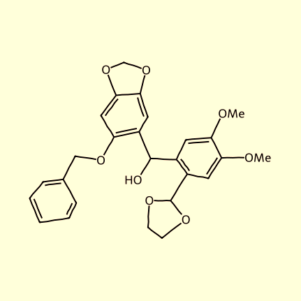 COc1cc(C2OCCO2)c(C(O)c2cc3c(cc2OCc2ccccc2)OCO3)cc1OC